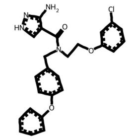 Nc1n[nH]cc1C(=O)N(CCOc1cccc(Cl)c1)Cc1ccc(Oc2ccccc2)cc1